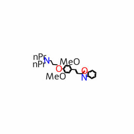 CCCN(CCC)CCCOc1c(OC)cc(/C=C/c2nc3ccccc3o2)cc1OC